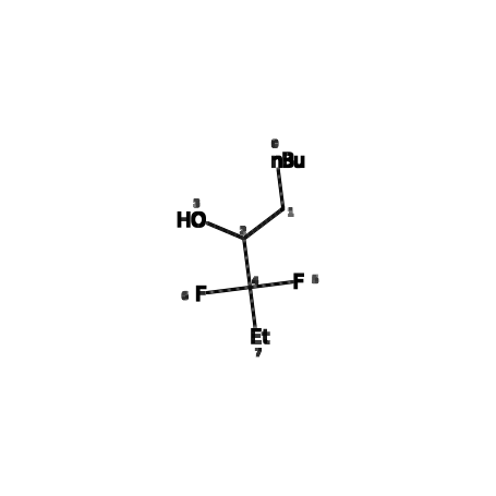 CCCCCC(O)C(F)(F)CC